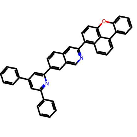 c1ccc(-c2cc(-c3ccccc3)nc(-c3ccc4cc(-c5ccc6c7c(cccc57)-c5ccccc5O6)ncc4c3)c2)cc1